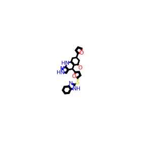 O=C1CC(c2ccco2)CC2=C1C(c1ccc(Sc3nc4ccccc4[nH]3)o1)c1c[nH]nc1N2